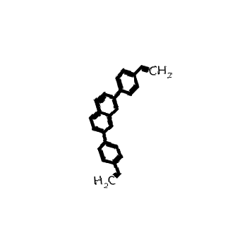 C=Cc1ccc(-c2ccc3ccc(-c4ccc(C=C)cc4)cc3c2)cc1